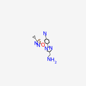 N#Cc1ccc(-c2ncc(CCN)cn2)c(Oc2nnc(C3CC3)s2)c1